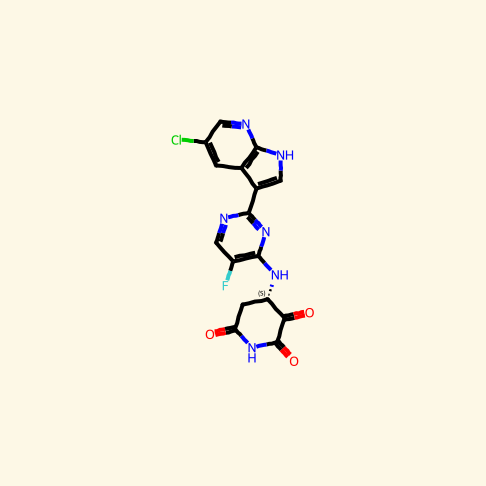 O=C1C[C@H](Nc2nc(-c3c[nH]c4ncc(Cl)cc34)ncc2F)C(=O)C(=O)N1